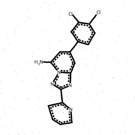 Nc1cc(-c2ccc(Cl)c(Cl)c2)cc2nc(-c3ccccn3)nn12